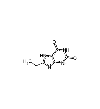 CCc1nc2[nH]c(=O)[nH]c(=O)c2[nH]1